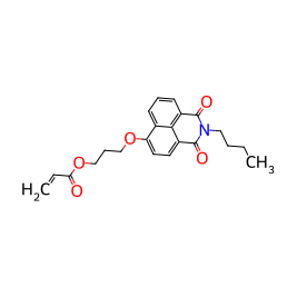 C=CC(=O)OCCCOc1ccc2c3c(cccc13)C(=O)N(CCCC)C2=O